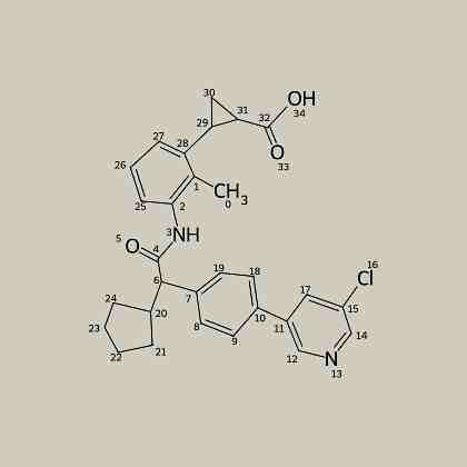 Cc1c(NC(=O)C(c2ccc(-c3cncc(Cl)c3)cc2)C2CCCC2)cccc1C1CC1C(=O)O